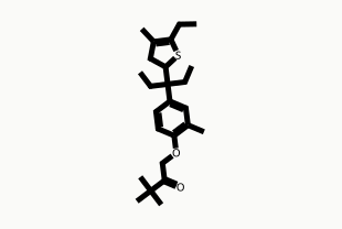 CCC1=C(C)CC(C(CC)(CC)c2ccc(OCC(=O)C(C)(C)C)c(C)c2)S1